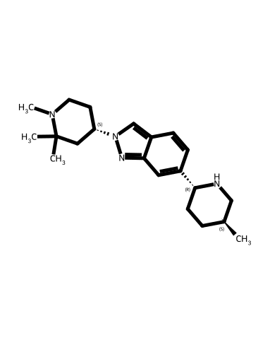 C[C@H]1CC[C@H](c2ccc3cn([C@H]4CCN(C)C(C)(C)C4)nc3c2)NC1